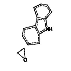 C1CO1.c1ccc2c(c1)[nH]c1ccccc12